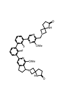 COc1nc(-c2cccc(-c3cccc(-c4cc5c(c(OC)n4)C(N4CC6(CCC(=O)N6)C4)CC5)c3F)c2F)cnc1CN1CC2(CCC(=O)N2)C1